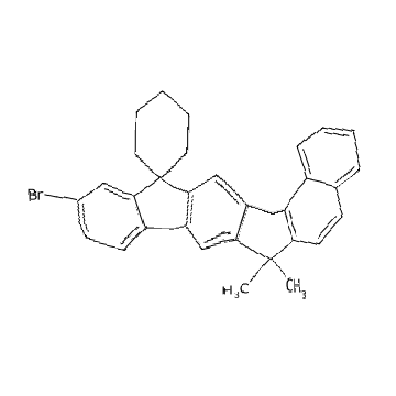 CC1(C)c2cc3c(cc2-c2c1ccc1ccccc21)C1(CCCCC1)c1cc(Br)ccc1-3